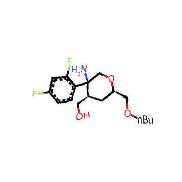 CCCCOC[C@H]1C[C@@H](CO)[C@](N)(c2ccc(F)cc2F)CO1